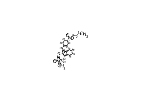 CCCCOC(=O)c1ccc(Cn2c3c(c4ccccc42)C2CN(C)C(=O)N(C3)C2)cc1